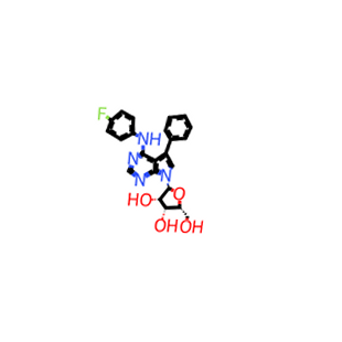 OC[C@H]1O[C@@H](n2cc(-c3ccccc3)c3c(Nc4ccc(F)cc4)ncnc32)[C@@H](O)[C@H]1O